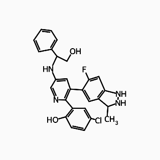 CC1NNc2cc(F)c(-c3cc(NC(CO)c4ccccc4)cnc3-c3cc(Cl)ccc3O)cc21